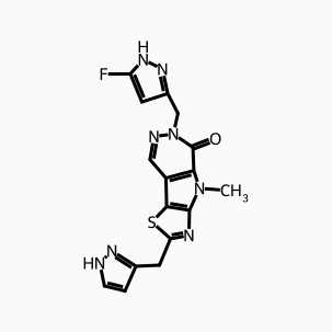 Cn1c2nc(Cc3cc[nH]n3)sc2c2cnn(Cc3cc(F)[nH]n3)c(=O)c21